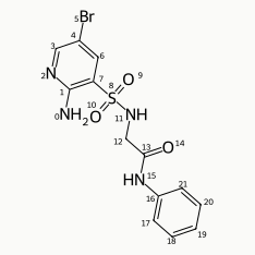 Nc1ncc(Br)cc1S(=O)(=O)NCC(=O)Nc1ccccc1